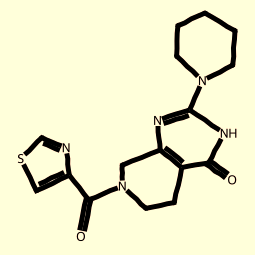 O=C(c1cscn1)N1CCc2c(nc(N3CCCCC3)[nH]c2=O)C1